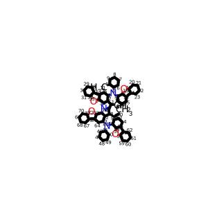 C=c1c2c(N(c3ccccc3C)c3cccc4c3oc3ccccc34)cc3c4ccccc4oc3c2n2c1c(/C=C\C)c1c(N(c3ccccc3)c3cccc4c3oc3ccccc34)cc3c4ccccc4oc3c12